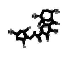 Cc1cc(F)c(CNC(=O)c2cn3c(c(O)c2=O)C(=O)N2C[C@H]3[C@H](C)CC[C@H]2C)c(F)c1